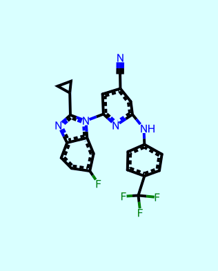 N#Cc1cc(Nc2ccc(C(F)(F)F)cc2)nc(-n2c(C3CC3)nc3ccc(F)cc32)c1